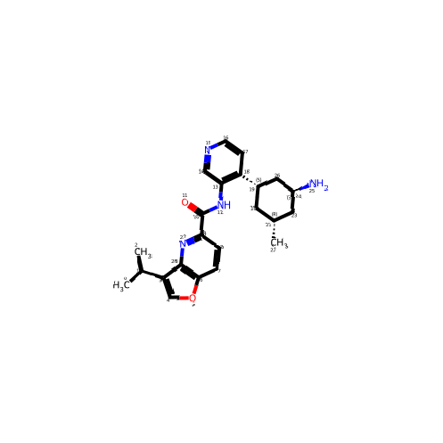 CC(C)c1coc2ccc(C(=O)Nc3cnccc3[C@H]3C[C@@H](C)C[C@H](N)C3)nc12